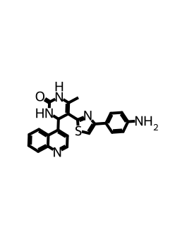 CC1=C(c2nc(-c3ccc(N)cc3)cs2)C(c2ccnc3ccccc23)NC(=O)N1